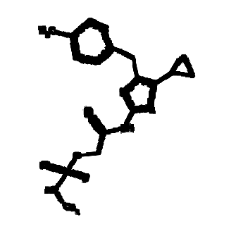 CNS(=O)(=O)OCC(=O)Nc1nc(C2CC2)c(Cc2ccc(C)cc2)s1